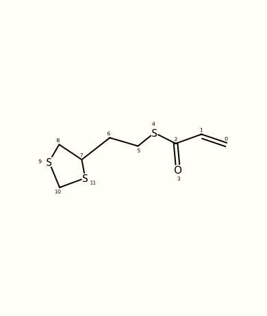 C=CC(=O)SCCC1CSCS1